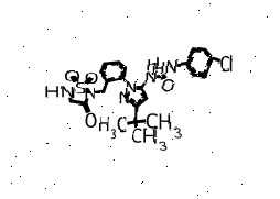 CC(C)(C)c1cc(NC(=O)Nc2ccc(Cl)cc2)n(-c2ccccc2CN2C(=O)CNS2(=O)=O)n1